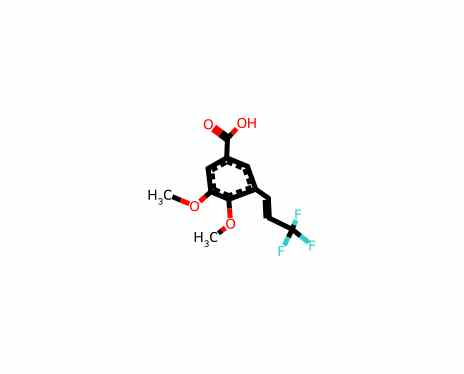 COc1cc(C(=O)O)cc(C=CC(F)(F)F)c1OC